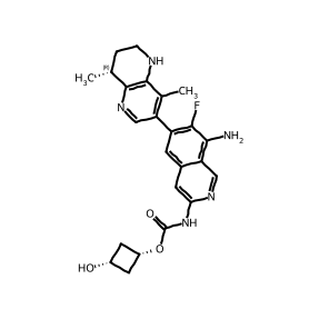 Cc1c(-c2cc3cc(NC(=O)O[C@H]4C[C@@H](O)C4)ncc3c(N)c2F)cnc2c1NCC[C@H]2C